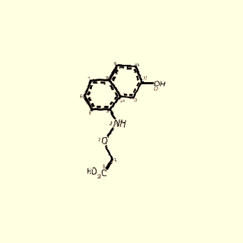 O=C(O)CONc1cccc2ccc(O)cc12